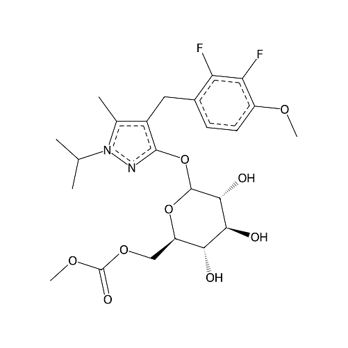 COC(=O)OC[C@H]1OC(Oc2nn(C(C)C)c(C)c2Cc2ccc(OC)c(F)c2F)[C@H](O)[C@@H](O)[C@@H]1O